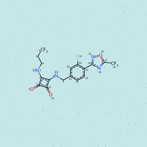 O=c1c(NCCC(F)(F)F)c(NCc2ccc(-c3noc(C(F)(F)F)n3)c(F)c2)c1=O